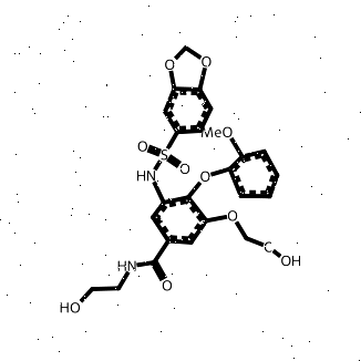 COc1ccccc1Oc1c(NS(=O)(=O)c2ccc3c(c2)OCO3)cc(C(=O)NCCO)cc1OCCO